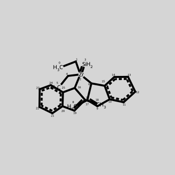 C[CH2][Zr](=[SiH2])([CH2]C)([CH]1C(C)=Cc2ccccc21)[CH]1C(C)=Cc2ccccc21